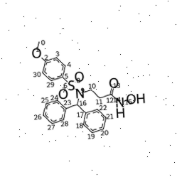 COc1ccc(S(=O)(=O)N(CCC(=O)NO)C(c2ccccc2)c2ccccc2)cc1